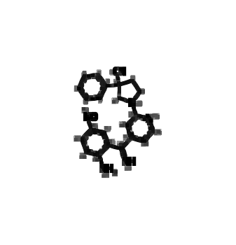 N#CC1(c2ccccc2)CCN(c2cc(C(=N)c3cc(N=O)ccc3N)ccn2)C1